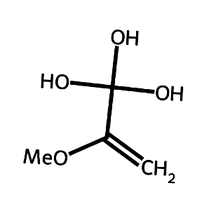 C=C(OC)C(O)(O)O